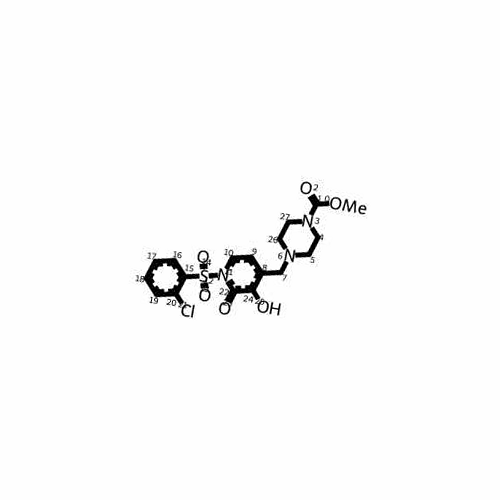 COC(=O)N1CCN(Cc2ccn(S(=O)(=O)c3ccccc3Cl)c(=O)c2O)CC1